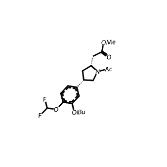 COC(=O)C[C@H]1C[C@@H](c2ccc(OC(F)F)c(OCC(C)C)c2)CN1C(C)=O